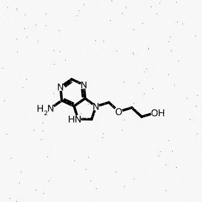 Nc1ncnc2c1NCN2COCCO